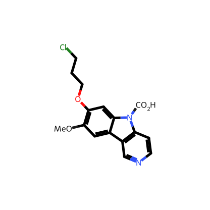 COc1cc2c3cnccc3n(C(=O)O)c2cc1OCCCCl